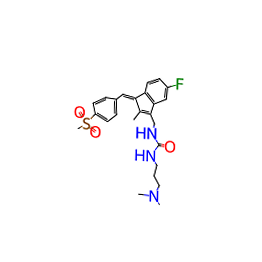 CC1=C(CNC(=O)NCCCN(C)C)c2cc(F)ccc2C1=Cc1ccc(S(C)(=O)=O)cc1